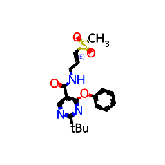 CC(C)(C)c1ncc(C(=O)NC/C=C/S(C)(=O)=O)c(Oc2ccccc2)n1